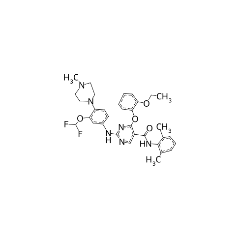 CCOc1ccccc1Oc1nc(Nc2ccc(N3CCN(C)CC3)c(OC(F)F)c2)ncc1C(=O)Nc1c(C)cccc1C